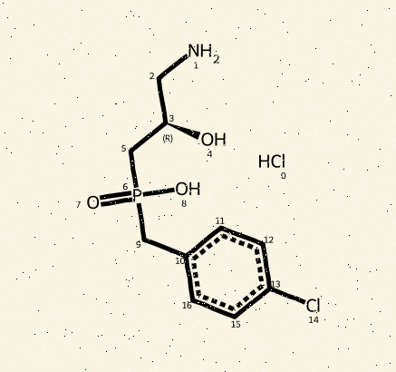 Cl.NC[C@@H](O)CP(=O)(O)Cc1ccc(Cl)cc1